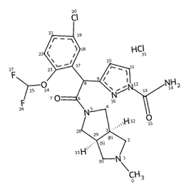 CN1C[C@@H]2CN(C(=O)C(c3[c]cn(C(N)=O)n3)c3cc(Cl)ccc3OC(F)F)C[C@@H]2C1.Cl